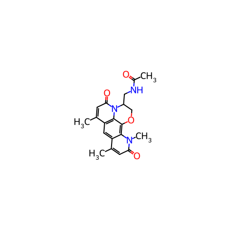 CC(=O)NCC1COc2c3c(cc4c(C)cc(=O)n1c24)c(C)cc(=O)n3C